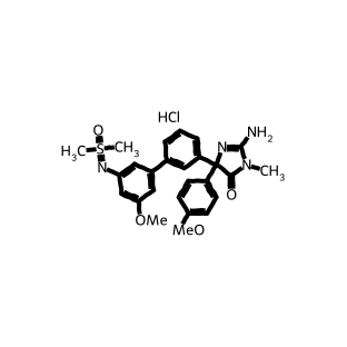 COc1ccc(C2(c3cccc(-c4cc(N=S(C)(C)=O)cc(OC)c4)c3)N=C(N)N(C)C2=O)cc1.Cl